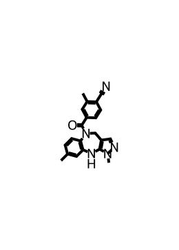 Cc1ccc2c(c1)Nc1c(cnn1C)CN2C(=O)c1ccc(C#N)c(C)c1